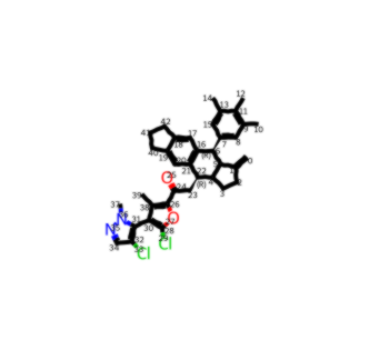 C=C1CCC2C1[C@H](c1cc(C)c(C)c(C)c1)c1cc3c(cc1[C@@H]2CC(=O)c1oc(Cl)c(-c2c(Cl)cnn2C)c1C)CCC3